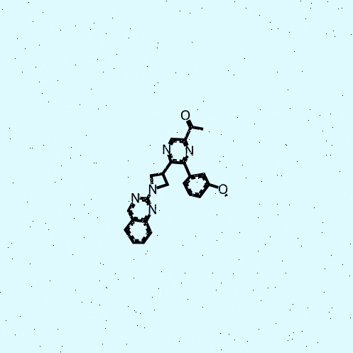 COc1cccc(-c2nc(C(C)=O)cnc2C2CN(c3ncc4ccccc4n3)C2)c1